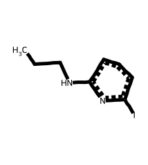 CCCNc1cccc(I)n1